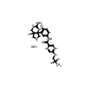 CC(F)(F)COc1cnc(C(=O)Nc2ccc(F)c(C34COCC3(F)CSC(N)=N4)c2)cn1.Cl